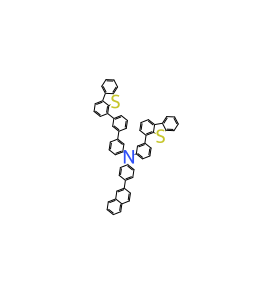 c1cc(-c2cccc(N(c3ccc(-c4ccc5ccccc5c4)cc3)c3cccc(-c4cccc5c4sc4ccccc45)c3)c2)cc(-c2cccc3c2sc2ccccc23)c1